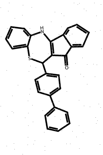 O=C1C2=C(Nc3ccccc3SC2c2ccc(-c3ccccc3)cc2)c2ccccc21